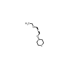 CCOC=C=CON1CCSCC1